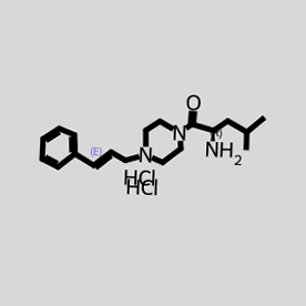 CC(C)C[C@@H](N)C(=O)N1CCN(C/C=C/c2ccccc2)CC1.Cl.Cl